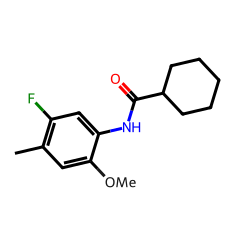 COc1cc(C)c(F)cc1NC(=O)C1CCCCC1